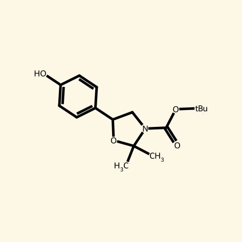 CC(C)(C)OC(=O)N1CC(c2ccc(O)cc2)OC1(C)C